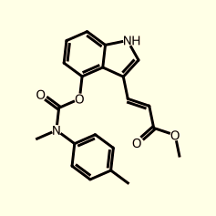 COC(=O)/C=C/c1c[nH]c2cccc(OC(=O)N(C)c3ccc(C)cc3)c12